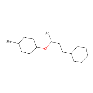 CC(=O)C(CCC1CCCCC1)OC1CCC(C(C)(C)C)CC1